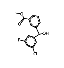 COC(=O)c1cccc(C(O)c2cc(F)cc(Cl)c2)c1